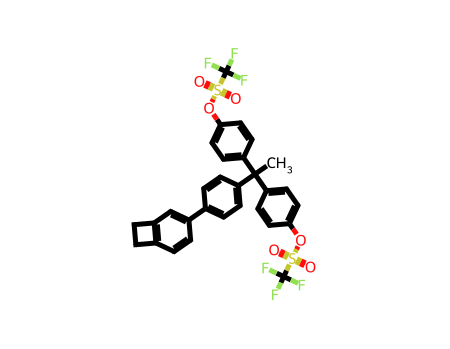 CC(c1ccc(OS(=O)(=O)C(F)(F)F)cc1)(c1ccc(OS(=O)(=O)C(F)(F)F)cc1)c1ccc(-c2ccc3c(c2)CC3)cc1